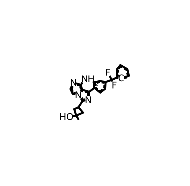 CC1(O)CC(c2nc(-c3ccc(C(F)(F)c4ccccc4)cc3)c3c(N)nccn23)C1